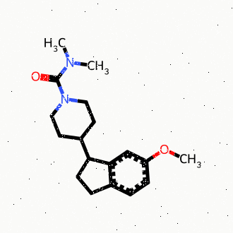 COc1ccc2c(c1)C(C1CCN(C(=O)N(C)C)CC1)CC2